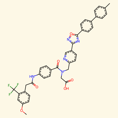 COc1ccc(CC(=O)Nc2ccc(C(=O)N(CC(=O)O)Cc3ccc(-c4noc(-c5ccc(-c6ccc(C)cc6)cc5)n4)cn3)cc2)c(C(F)(F)F)c1